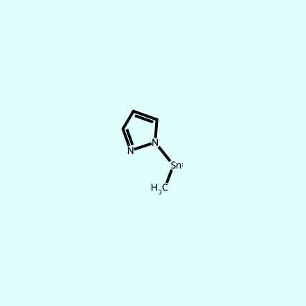 [CH3][Sn][n]1cccn1